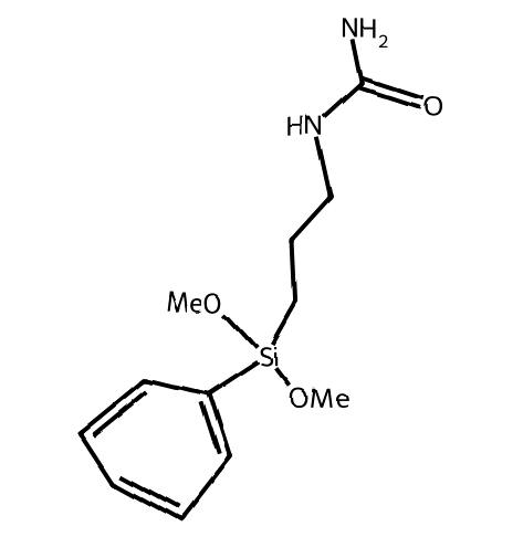 CO[Si](CCCNC(N)=O)(OC)c1ccccc1